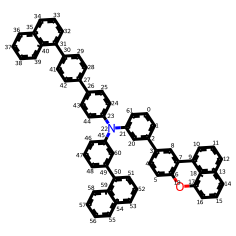 c1cc(-c2ccc3c(c2)-c2cccc4cccc(c24)O3)cc(N(c2ccc(-c3ccc(-c4cccc5ccccc45)cc3)cc2)c2cccc(-c3cccc4ccccc34)c2)c1